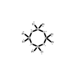 CC[Si]1(C(C)C)O[Si](CC)(C(C)C)O[Si](CC)(C(C)C)O[Si](CC)(C(C)C)O1